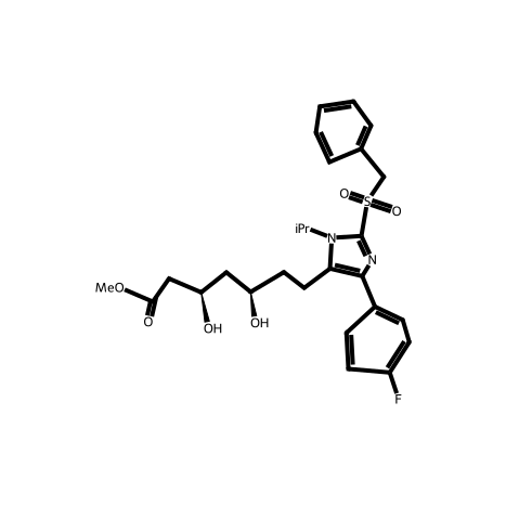 COC(=O)C[C@H](O)C[C@H](O)CCc1c(-c2ccc(F)cc2)nc(S(=O)(=O)Cc2ccccc2)n1C(C)C